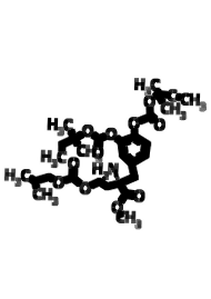 CCC(C)(C)OC(=O)Oc1ccc(C[C@](N)(CCOC(=O)OCC(C)C)C(=O)OC)cc1OC(=O)OC(C)(C)CC